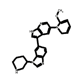 COC1=CC=CCN1c1cnc2[nH]cc(-c3ccc4ncn(C5CCCNC5)c4c3)c2c1